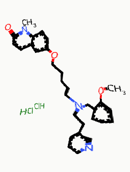 COc1ccccc1CN(CCCCCOc1ccc2c(ccc(=O)n2C)c1)CCc1cccnc1.Cl.Cl